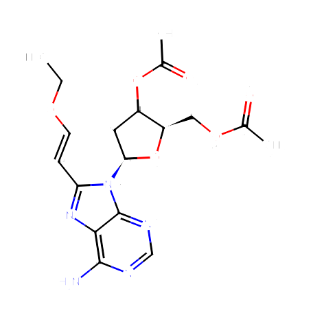 CCOC=Cc1nc2c(N)ncnc2n1[C@H]1CC(OC(C)=O)[C@@H](COC(C)=O)O1